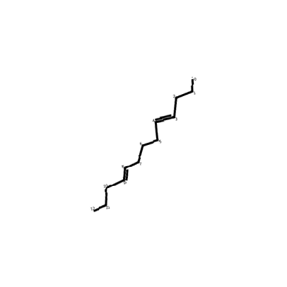 [CH2]CCC=CCCCC=CCCC